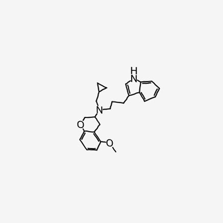 COc1cccc2c1CC(N(CCCc1c[nH]c3ccccc13)CC1CC1)CO2